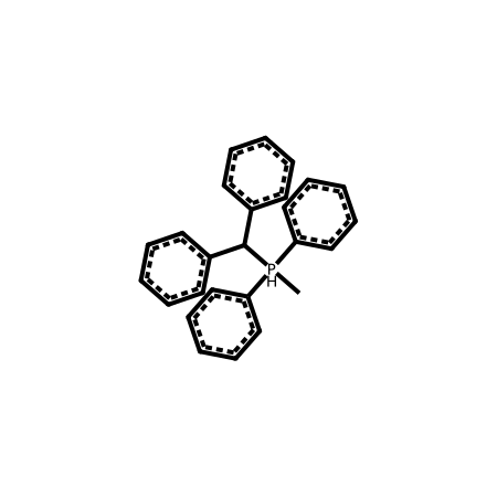 C[PH](c1ccccc1)(c1ccccc1)C(c1ccccc1)c1ccccc1